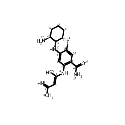 CC(=N)/C=C(\S)Nc1cc(N[C@@H]2CCCC[C@@H]2N)c(F)cc1C(N)=O